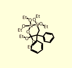 CCOC1(OCC)O[Si](OCC)(OCC)[Si](OCC)(OCC)CC1(c1ccccc1)c1ccccc1